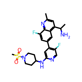 Cc1cc(C(C)N)c2cc(-c3cc(NC4CCN(S(C)(=O)=O)CC4)ncc3F)cc(F)c2n1